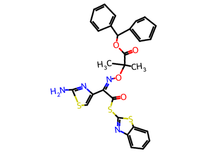 CC(C)(O/N=C(\C(=O)Sc1nc2ccccc2s1)c1csc(N)n1)C(=O)OC(c1ccccc1)c1ccccc1